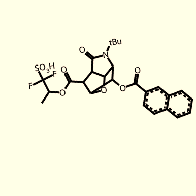 CC(OC(=O)C1C2OC3C1C(=O)N(C(C)(C)C)C3C2OC(=O)c1ccc2ccccc2c1)C(F)(F)S(=O)(=O)O